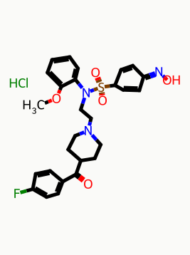 COc1ccccc1N(CCN1CCC(C(=O)c2ccc(F)cc2)CC1)S(=O)(=O)C1C=CC(=NO)C=C1.Cl